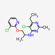 CCc1nc(C)nc(NC(C)COc2ncccc2Cl)c1Cl